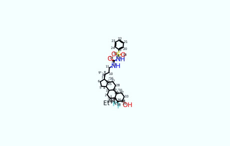 CC[C@H]1CC2C3CCC([C@H](C)CCNC(=O)NS(=O)(=O)c4ccccc4)[C@@]3(C)CCC2[C@@]2(C)CC[C@@H](O)C(F)(F)[C@@H]12